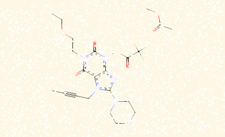 CC#CCn1c(N2CCNCC2)nc2c1c(=O)n(CCOCC)c(=O)n2OC(=O)C(F)(F)F.COC(C)=O